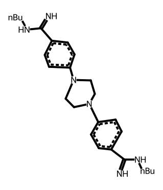 CCCCNC(=N)c1ccc(N2CCN(c3ccc(C(=N)NCCCC)cc3)CC2)cc1